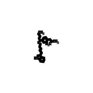 CCCCC(OCCCCCc1c[nH]c2ccccc12)c1ccc(CC(C)C)cc1